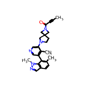 CC#CC(=O)N1CC2(CCN(c3cncc(-c4c(C)ccc5cnn(C)c45)c3C#N)C2)C1